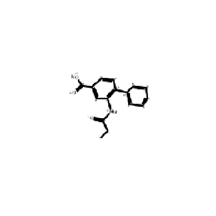 CCC(=O)Nc1cc(C(=O)O)ccc1-c1ccccc1